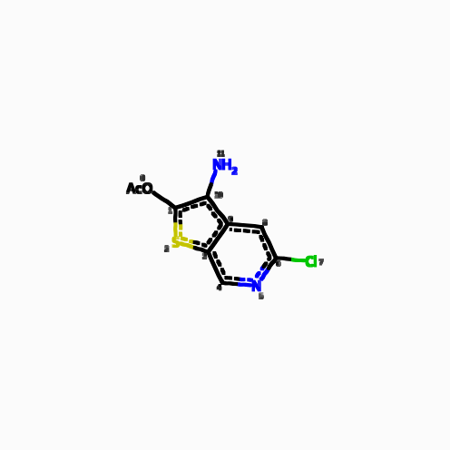 CC(=O)Oc1sc2cnc(Cl)cc2c1N